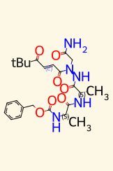 C[C@H](NC(=O)OCc1ccccc1)C(=O)N[C@@H](C)C(=O)NN(CC(N)=O)C(=O)/C=C/C(=O)C(C)(C)C